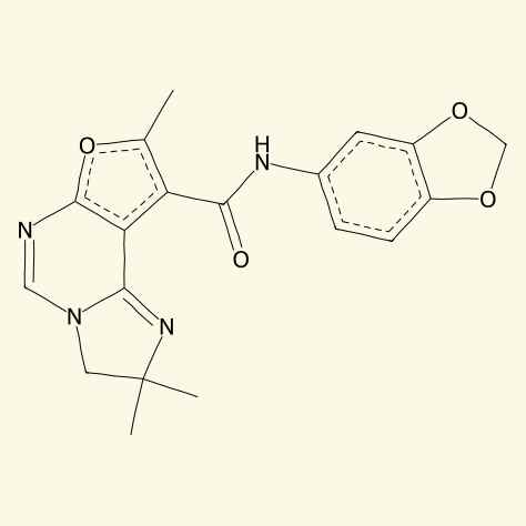 Cc1oc2c(c1C(=O)Nc1ccc3c(c1)OCO3)C1=NC(C)(C)CN1C=N2